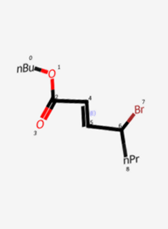 CCCCOC(=O)/C=C/C(Br)CCC